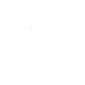 Cc1cc(F)cc(C)c1N